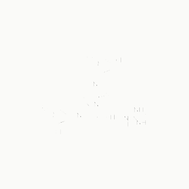 N=C(N)NCCCC(C(=O)O)N(C(=O)C1CCCN1Cc1cc(Cl)cc(Cl)c1)C(=O)C1CCCN1Cc1cc(Cl)cc(Cl)c1